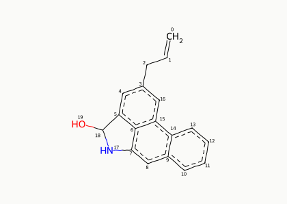 C=CCc1cc2c3c(cc4ccccc4c3c1)NC2O